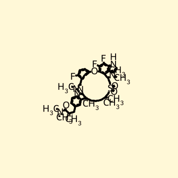 C[C@H](Cc1cccc([C@@]2(C)CCCC(C)(C)CS(=O)(=O)CC(N(C)C)c3c(c(F)c(F)c4[nH]ccc34)Oc3ccc(F)c(c3)-c3nc2nn3C)c1)C(=O)N(C)C